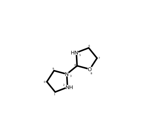 C1CNN([C]2NCCO2)C1